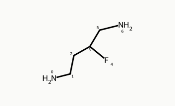 NCCC(F)CN